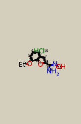 CCOc1cccc2cc(C(N)=NO)oc12.Cl